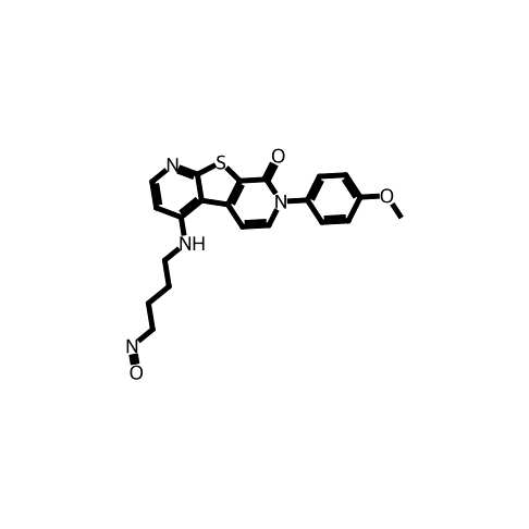 COc1ccc(-n2ccc3c(sc4nccc(NCCCCN=O)c43)c2=O)cc1